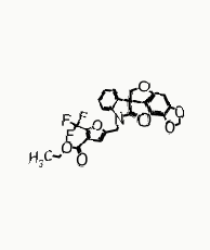 CCOC(=O)c1cc(CN2C(=O)C3(COc4cc5c(cc43)OCO5)c3ccccc32)oc1C(F)(F)F